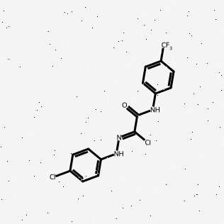 O=C(Nc1ccc(C(F)(F)F)cc1)C(Cl)=NNc1ccc(Cl)cc1